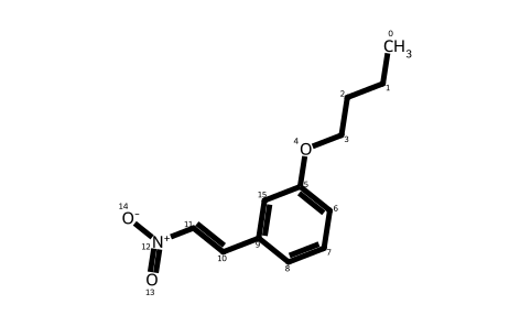 CCCCOc1cccc(C=C[N+](=O)[O-])c1